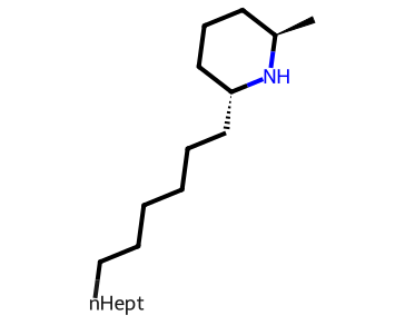 CCCCCCCCCCCCC[C@@H]1CCC[C@@H](C)N1